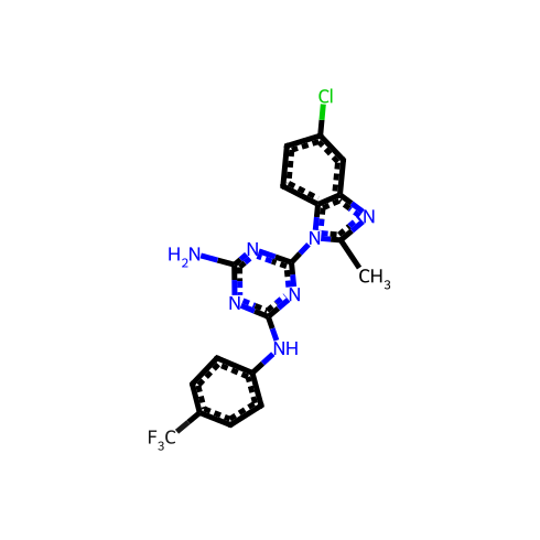 Cc1nc2cc(Cl)ccc2n1-c1nc(N)nc(Nc2ccc(C(F)(F)F)cc2)n1